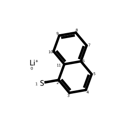 [Li+].[S-]c1cccc2ccccc12